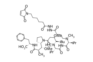 CC[C@H](C)[C@@H]([C@@H](CC(=O)N1CCC[C@H]1[C@H](OC)[C@@H](C)C(=O)N[C@@H](Cc1ccccc1)C(=O)O)OC)N(C)[C@H](C(=O)NC(=O)[C@H](C(C)C)N(C)CCCC(=O)NNC(=O)CCCCCN1C(=O)C=CC1=O)C(C)C